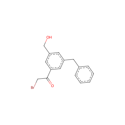 O=C(CBr)c1cc(CO)cc(Cc2ccccc2)c1